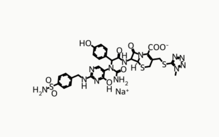 Cn1nnnc1SCC1=C(C(=O)[O-])N2C(=O)C(NC(=O)C(c3ccc(O)cc3)N(C(N)=O)c3cnc(NCc4ccc(S(N)(=O)=O)cc4)nc3O)[C@@H]2SC1.[Na+]